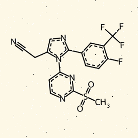 CS(=O)(=O)c1nccc(-n2c(CC#N)cnc2-c2ccc(F)c(C(F)(F)F)c2)n1